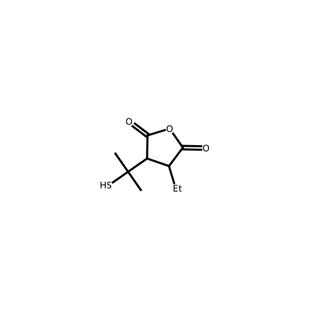 CCC1C(=O)OC(=O)C1C(C)(C)S